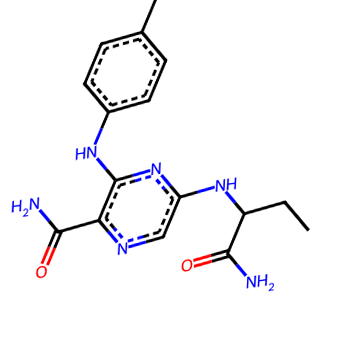 CCC(Nc1cnc(C(N)=O)c(Nc2ccc(C)cc2)n1)C(N)=O